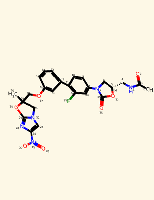 CC(=O)NC[C@H]1CN(c2ccc(-c3cccc(OCC4(C)Cn5cc([N+](=O)[O-])nc5O4)c3)c(F)c2)C(=O)O1